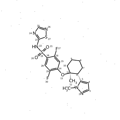 Cn1nccc1[C@H]1CCCC[C@]1(C)Oc1cc(F)c(S(=O)(=O)Nc2ncns2)cc1F